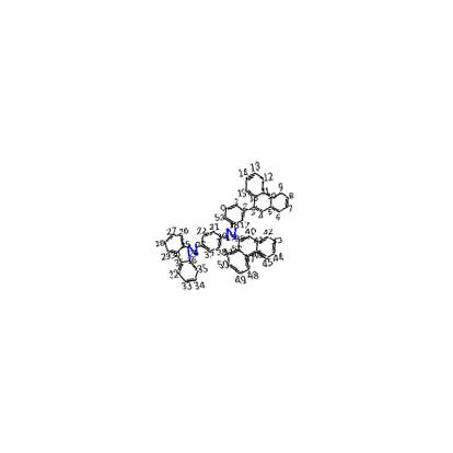 c1cc(-c2cc3ccccc3c3ccccc23)cc(N(c2ccc(-n3c4ccccc4c4ccccc43)cc2)c2cc3ccccc3c3ccccc23)c1